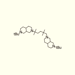 CC(C)(CCC(C)(C)N1CCC2CCN(C(C)(C)C)CC2C1)CN1CCC2CCN(C(C)(C)C)CC2C1